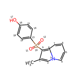 Cc1cn2ccccc2c1S(=O)(=O)c1ccc(O)cc1